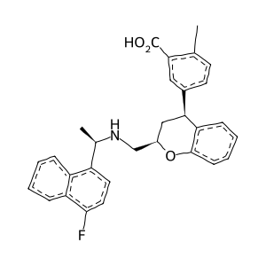 Cc1ccc([C@@H]2C[C@H](CN[C@H](C)c3ccc(F)c4ccccc34)Oc3ccccc32)cc1C(=O)O